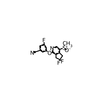 C[S+]([O-])c1cnc(Oc2cc(F)cc(C#N)c2)c2c1CC(F)(F)C2